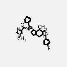 C[C@@H]1C2=C(CC[C@@H]2CC(NC(=O)c2cn(C)cn2)c2ccccc2)Cc2c1cnn2-c1ccc(F)cc1